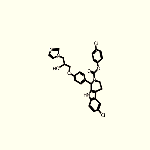 O=C(Oc1ccc(Cl)cc1)N1CCc2c([nH]c3ccc(Cl)cc23)C1c1ccc(OCC(O)Cn2ccnc2)cc1